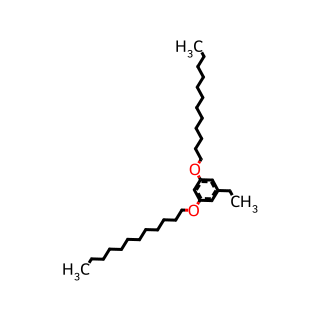 CCCCCCCCCCCCOc1cc(CC)cc(OCCCCCCCCCCCC)c1